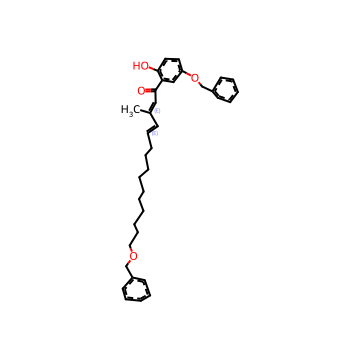 CC(/C=C/CCCCCCCCCCOCc1ccccc1)=C\C(=O)c1cc(OCc2ccccc2)ccc1O